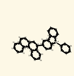 c1ccc(-n2c3ccccc3c3cc(-c4cc5ccc6ccccc6c5c5ccccc45)ccc32)cc1